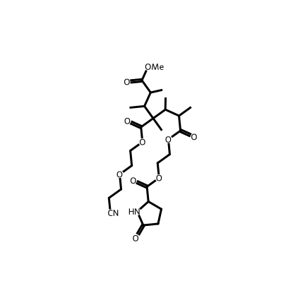 COC(=O)C(C)C(C)C(C)(C(=O)OCCOCCC#N)C(C)C(C)C(=O)OCCOC(=O)C1CCC(=O)N1